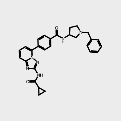 O=C(NC1CCN(Cc2ccccc2)C1)c1ccc(-c2cccc3nc(NC(=O)C4CC4)nn23)cc1